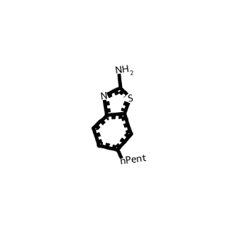 CCCCCc1ccc2nc(N)sc2c1